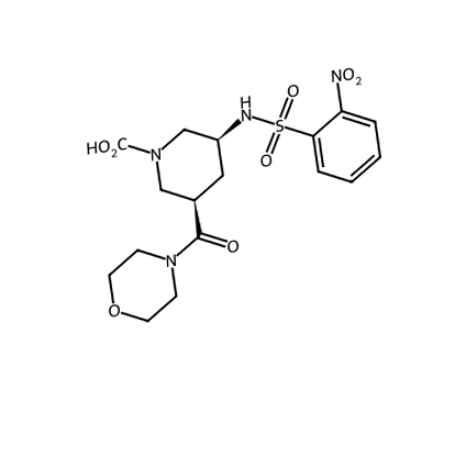 O=C(O)N1C[C@@H](NS(=O)(=O)c2ccccc2[N+](=O)[O-])C[C@@H](C(=O)N2CCOCC2)C1